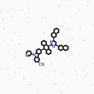 N#Cc1ccc2c(c1)c1cc(-c3c4ccccc4c(-c4nc(-c5ccc6ccccc6c5)cc(-c5ccc6ccccc6c5)n4)c4ccccc34)ccc1n2-c1cccnc1